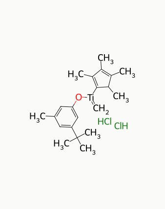 Cl.Cl.[CH2]=[Ti]([O]c1cc(C)cc(C(C)(C)C)c1)[C]1=C(C)C(C)=C(C)C1C